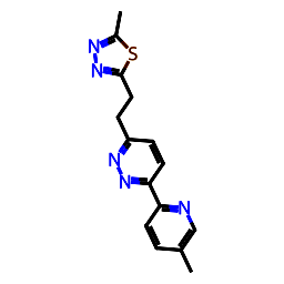 Cc1ccc(-c2ccc(CCc3nnc(C)s3)nn2)nc1